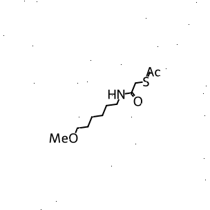 COCCCCCCNC(=O)CSC(C)=O